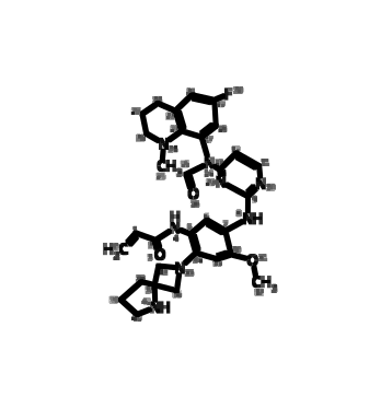 C=CC(=O)Nc1cc(Nc2nccc(N(C=O)c3cc(F)cc4c3N(C)CCC4)n2)c(OC)cc1N1CC2(CCCN2)C1